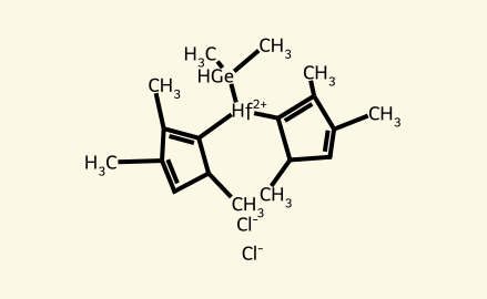 CC1=CC(C)[C]([Hf+2]([C]2=C(C)C(C)=CC2C)[GeH]([CH3])[CH3])=C1C.[Cl-].[Cl-]